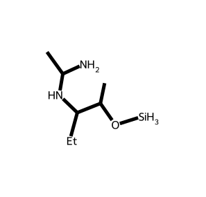 CCC(NC(C)N)C(C)O[SiH3]